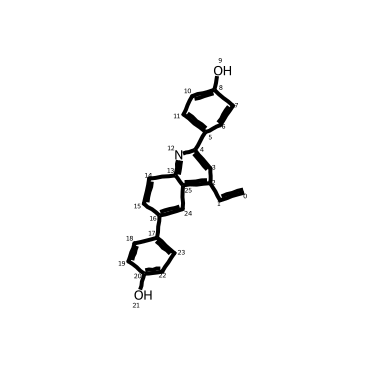 C=Cc1cc(-c2ccc(O)cc2)nc2ccc(-c3ccc(O)cc3)cc12